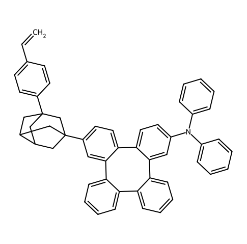 C=Cc1ccc(C23CC4CC(c5ccc6c(c5)-c5ccccc5-c5ccccc5-c5cc(N(c7ccccc7)c7ccccc7)ccc5-6)(CC4C2)C3)cc1